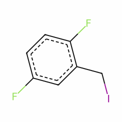 Fc1ccc(F)c(CI)c1